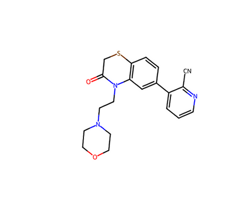 N#Cc1ncccc1-c1ccc2c(c1)N(CCN1CCOCC1)C(=O)CS2